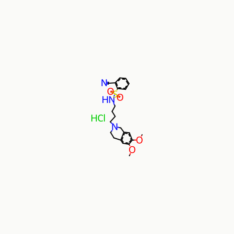 COc1cc2c(cc1OC)CN(CCCCNS(=O)(=O)c1ccccc1C#N)CC2.Cl